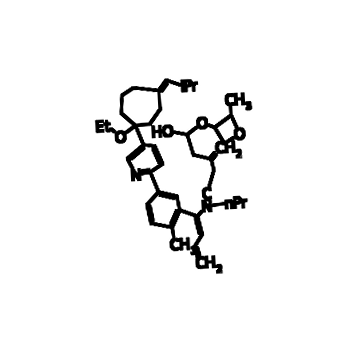 C=C/C=C(\c1cc(-c2ccc(C3(OCC)CCC/C(=C/C(C)C)CC3)cn2)ccc1C)N(CCC)CCC(=C)CC(O)OC1COC1C